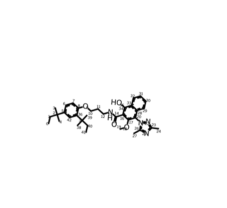 CCC(C)(C)c1ccc(OCCCNC(=O)c2c(OC)c(-n3nc(C)nc3C)c3ccccc3c2O)c(C(C)(C)CC)c1